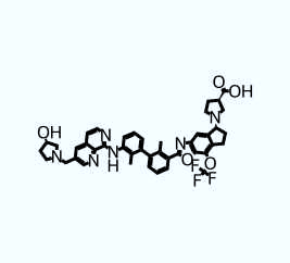 Cc1c(Nc2nccc3cc(CN4CC[C@@H](O)C4)cnc23)cccc1-c1cccc(-c2nc3cc4c(c(OC(F)(F)F)c3o2)CC[C@H]4N2CC[C@@H](C(=O)O)C2)c1C